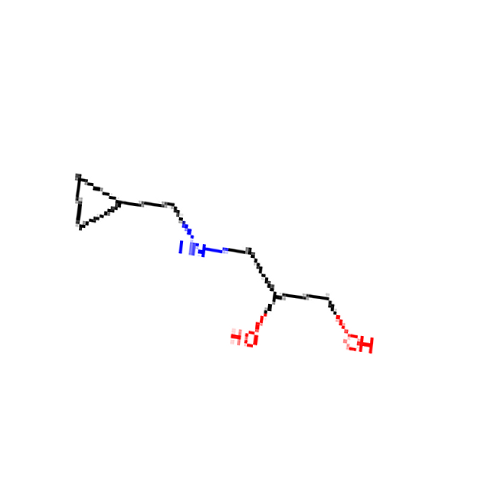 OCC(O)CNCC1CC1